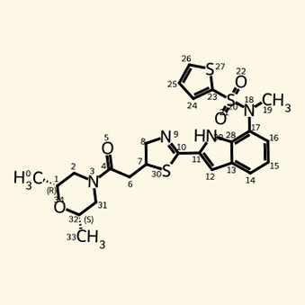 C[C@@H]1CN(C(=O)CC2CN=C(c3cc4cccc(N(C)S(=O)(=O)c5cccs5)c4[nH]3)S2)C[C@H](C)O1